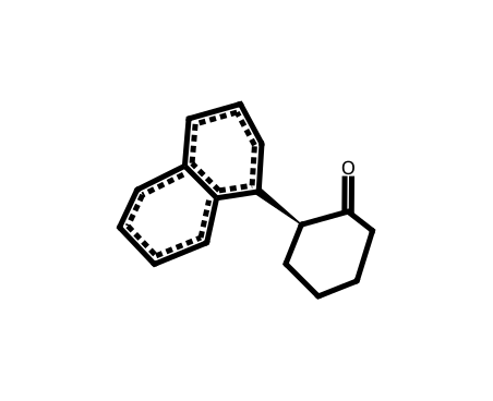 O=C1CCCC[C@H]1c1cccc2ccccc12